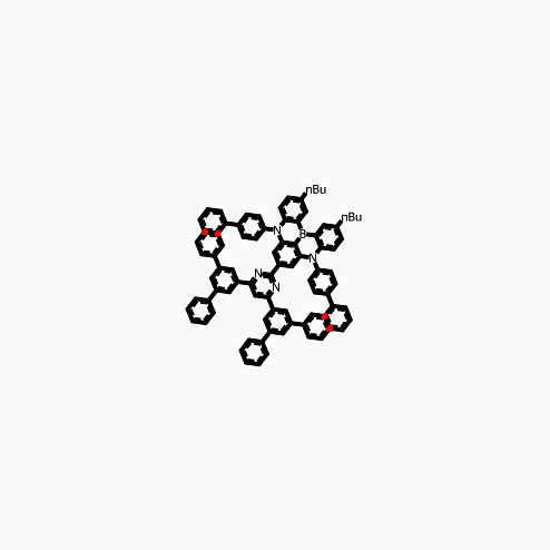 CCCCc1ccc2c(c1)B1c3cc(CCCC)ccc3N(c3ccc(-c4ccccc4)cc3)c3cc(-c4nc(-c5cc(-c6ccccc6)cc(-c6ccccc6)c5)cc(-c5cc(-c6ccccc6)cc(-c6ccccc6)c5)n4)cc(c31)N2c1ccc(-c2ccccc2)cc1